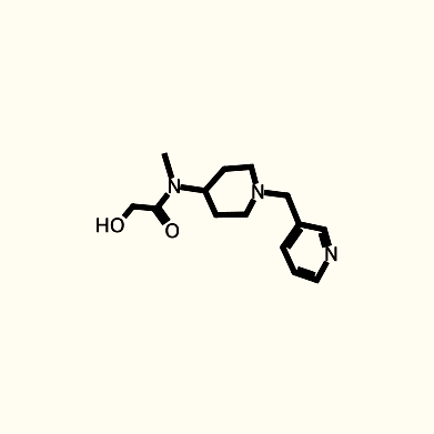 CN(C(=O)CO)C1CCN(Cc2cccnc2)CC1